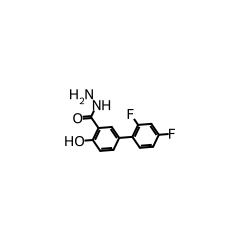 NNC(=O)c1cc(-c2ccc(F)cc2F)ccc1O